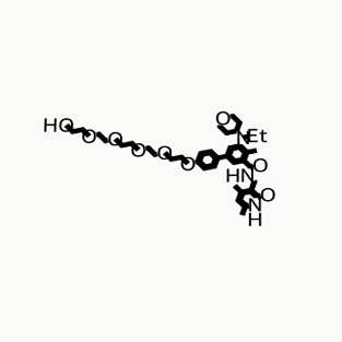 CCN(c1cc(-c2ccc(OCCOCCOCCOCCOCCO)cc2)cc(C(=O)NCc2c(C)cc(C)[nH]c2=O)c1C)C1CCOCC1